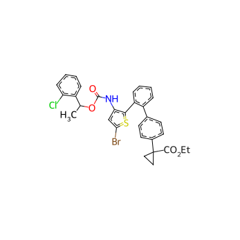 CCOC(=O)C1(c2ccc(-c3ccccc3-c3sc(Br)cc3NC(=O)OC(C)c3ccccc3Cl)cc2)CC1